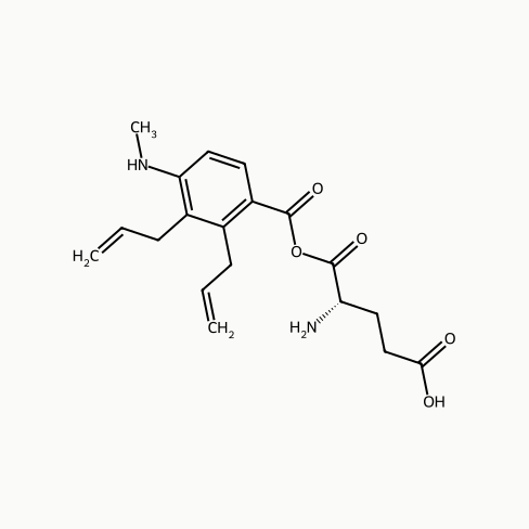 C=CCc1c(NC)ccc(C(=O)OC(=O)[C@@H](N)CCC(=O)O)c1CC=C